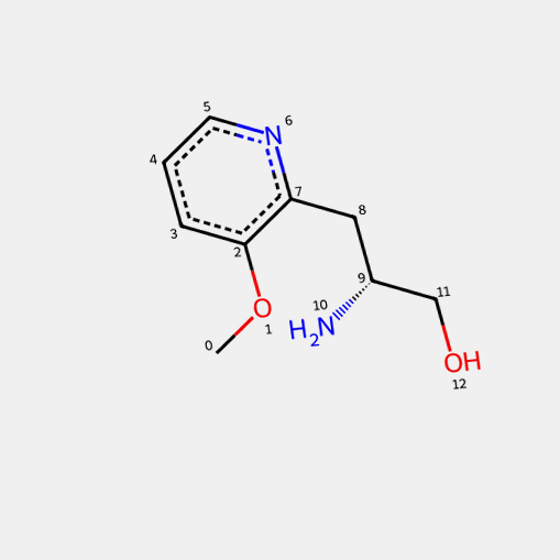 COc1cccnc1C[C@@H](N)CO